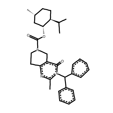 Cc1nc2c(c(=O)n1C(c1ccccc1)c1ccccc1)CN(C(=O)O[C@@H]1C[C@H](C)CC[C@H]1C(C)C)CC2